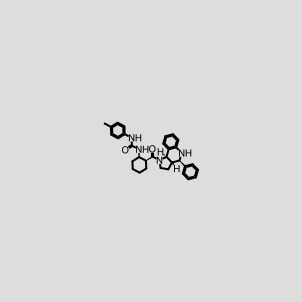 Cc1ccc(NC(=O)N[C@@H]2CCCC[C@@H]2C(=O)N2CC[C@H]3[C@H](c4ccccc4)Nc4ccccc4[C@@H]32)cc1